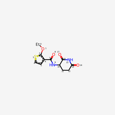 CCOc1sccc1C(=O)NC1CCC(=O)NC1=O